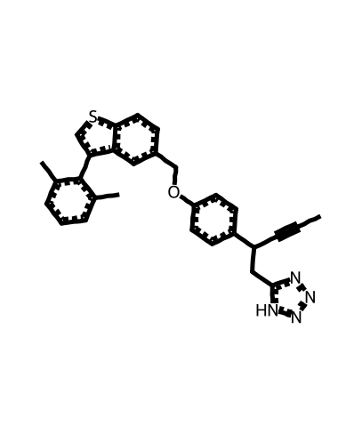 CC#CC(Cc1nnn[nH]1)c1ccc(OCc2ccc3scc(-c4c(C)cccc4C)c3c2)cc1